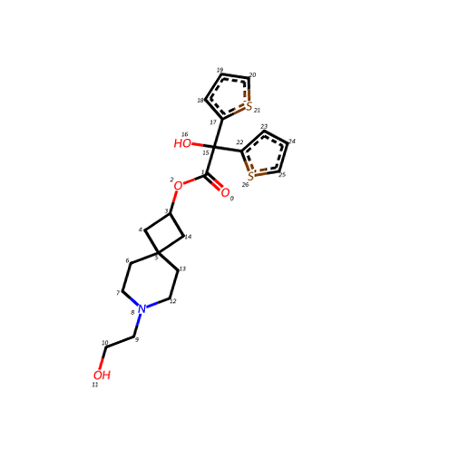 O=C(OC1CC2(CCN(CCO)CC2)C1)C(O)(c1cccs1)c1cccs1